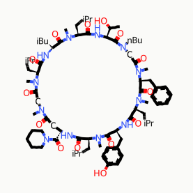 CCCCN1CC(=O)N(C)[C@@H](Cc2ccccc2)C(=O)N(C)[C@@H](CC(C)C)C(=O)N[C@@H](Cc2ccc(O)cc2)C(=O)N(C)[C@@H](CC(C)C)C(=O)N[C@H](C(=O)N2CCCCC2)CC(=O)N(C)CC(=O)N(C)[C@@H](CC(C)C)C(=O)N[C@@H]([C@@H](C)CC)C(=O)N(C)[C@@H](CC(C)C)C(=O)N[C@@H](C(C)O)C1=O